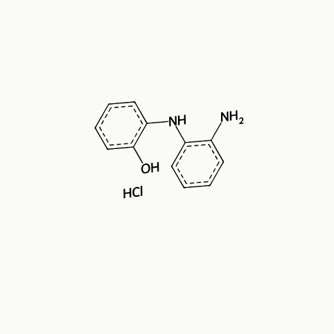 Cl.Nc1ccccc1Nc1ccccc1O